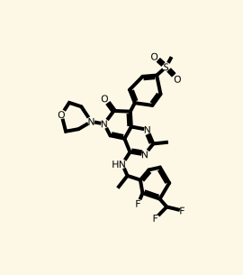 Cc1nc(NC(C)c2cccc(C(F)F)c2F)c2cn(N3CCOCC3)c(=O)c(-c3ccc(S(C)(=O)=O)cc3)c2n1